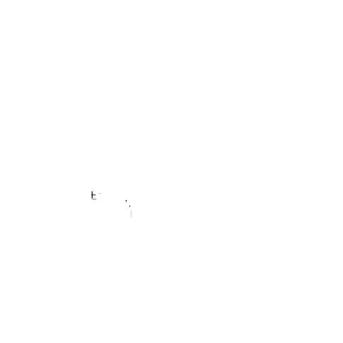 CCNC=Cc1ccccc1